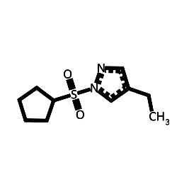 CCc1cnn(S(=O)(=O)C2CCCC2)c1